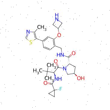 Cc1ncsc1-c1ccc(CNC(=O)[C@@H]2C[C@@H](O)CN2C(=O)[C@@H](NC(=O)C2(F)CC2)C(C)(C)C)c(OC2CNC2)c1